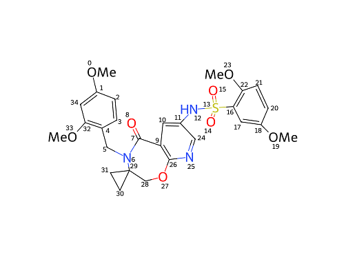 COc1ccc(CN2C(=O)c3cc(NS(=O)(=O)c4cc(OC)ccc4OC)cnc3OCC23CC3)c(OC)c1